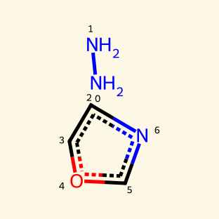 NN.c1cocn1